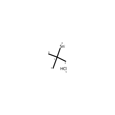 C[C](C)(C)[Sn].Cl